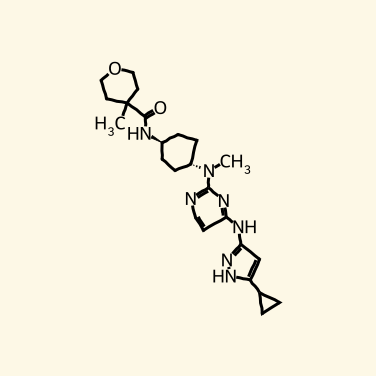 CN(c1nccc(Nc2cc(C3CC3)[nH]n2)n1)[C@H]1CC[C@H](NC(=O)C2(C)CCOCC2)CC1